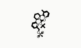 Cc1cccnc1[C@@H]1CCC[C@H](c2cccc(COS(C)(=O)=O)n2)N1C(=O)OC(C)(C)C